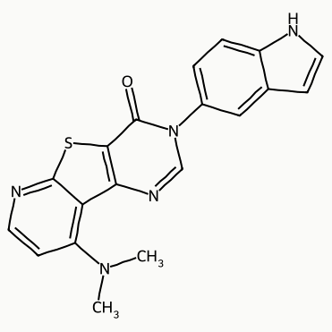 CN(C)c1ccnc2sc3c(=O)n(-c4ccc5[nH]ccc5c4)cnc3c12